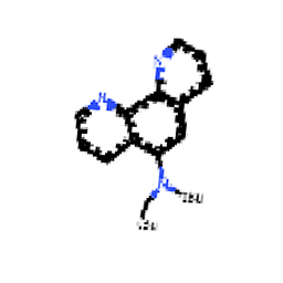 CC(C)(C)CN(c1cc2cccnc2c2ncccc12)C(C)(C)C